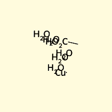 CC(=O)O.O.O.O.O.O.[Cu]